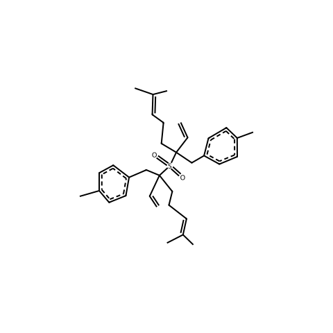 C=CC(CCC=C(C)C)(Cc1ccc(C)cc1)S(=O)(=O)C(C=C)(CCC=C(C)C)Cc1ccc(C)cc1